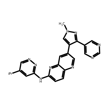 CC(C)c1cnnc(Nc2ccc3ncc(-c4cn(C)nc4-c4cncnc4)cc3n2)c1